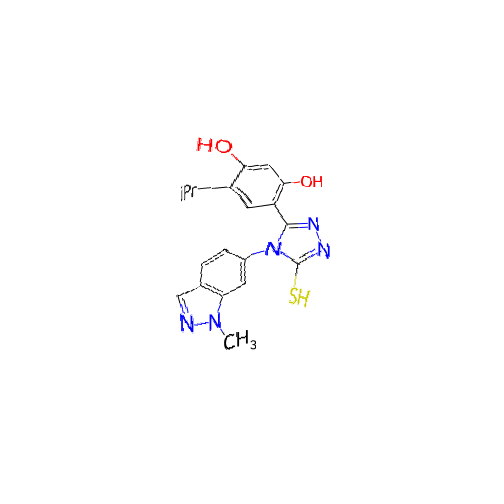 CC(C)c1cc(-c2nnc(S)n2-c2ccc3cnn(C)c3c2)c(O)cc1O